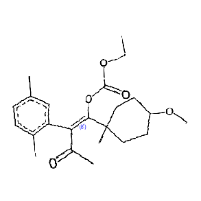 CCOC(=O)O/C(=C(/C(C)=O)c1cc(C)ccc1C)C1(C)CCC(OC)CC1